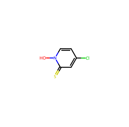 On1ccc(Cl)cc1=S